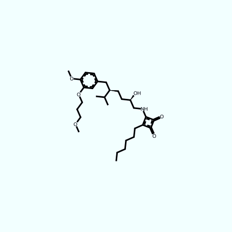 CCCCCCc1c(NC[C@H](O)CC[C@H](Cc2ccc(OC)c(OCCCOC)c2)C(C)C)c(=O)c1=O